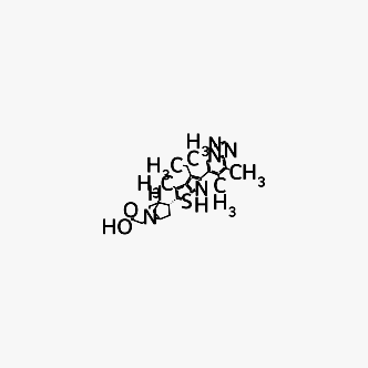 Cc1c(-c2[nH]c3sc([C@@H]4CC5C[C@H]4CN5CC(=O)O)c(C)c3c2C(C)C)cn2ncnc2c1C